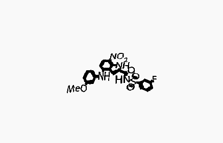 COc1cccc(Nc2ccc([N+](=O)[O-])c3[nH]c(C(=O)NS(=O)(=O)c4cccc(F)c4)cc23)c1